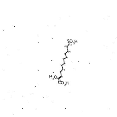 CC(=CCCCCCCCCCCS(=O)(=O)O)C(=O)O